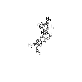 C=C(Oc1ccc2c(c1)OCCn1cc(-c3ncnn3C(C)C)nc1-2)C(N)=O